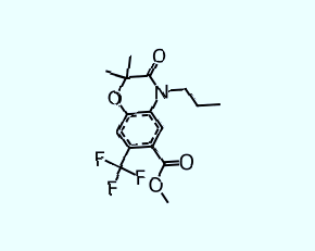 CCCN1C(=O)C(C)(C)Oc2cc(C(F)(F)F)c(C(=O)OC)cc21